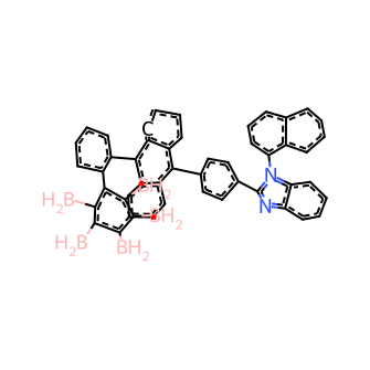 Bc1c(B)c(B)c(-c2ccccc2-c2c3ccccc3c(-c3ccc(-c4nc5ccccc5n4-c4cccc5ccccc45)cc3)c3ccccc23)c(B)c1B